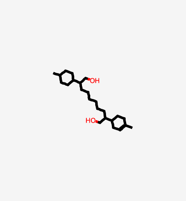 CC1=CCC(C(CO)CCCCCCC(CO)C2CCC(C)CC2)CC1